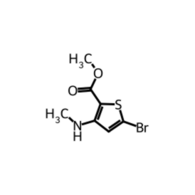 CNc1cc(Br)sc1C(=O)OC